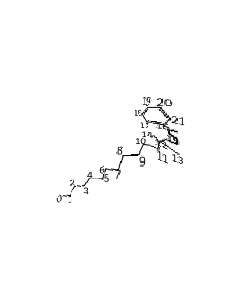 CCCCCCCCCCCCC(C)(C)Sc1ccccc1